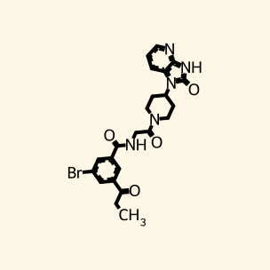 CCC(=O)c1cc(Br)cc(C(=O)NCC(=O)N2CCC(n3c(=O)[nH]c4ncccc43)CC2)c1